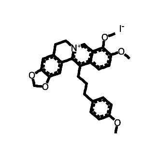 COc1ccc(CCCc2c3[n+](cc4c(OC)c(OC)ccc24)CCc2cc4c(cc2-3)OCO4)cc1.[I-]